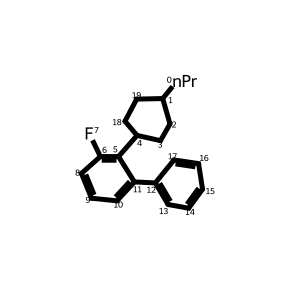 CCCC1CCC(c2c(F)cccc2-c2ccccc2)CC1